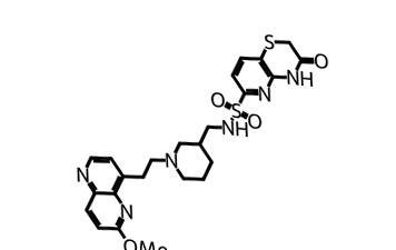 COc1ccc2nccc(CCN3CCCC(CNS(=O)(=O)c4ccc5c(n4)NC(=O)CS5)C3)c2n1